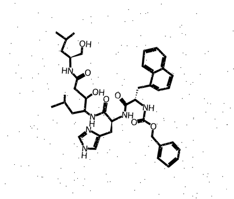 CC(C)CC(NC(=O)[C@H](Cc1c[nH]cn1)NC(=O)[C@H](Cc1cccc2ccccc12)NC(=O)OCc1ccccc1)C(O)CC(=O)N[C@H](CO)CC(C)C